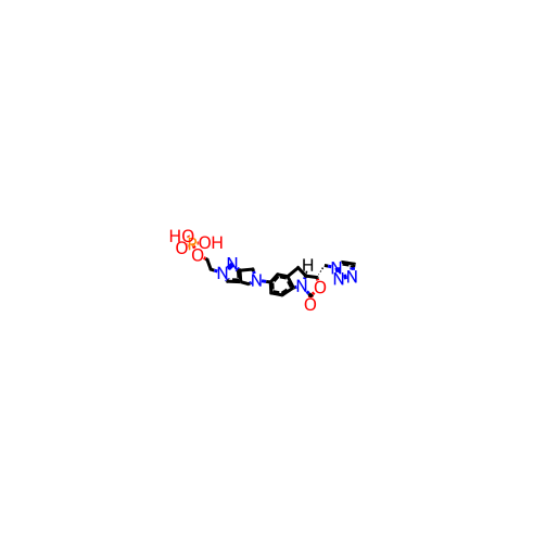 O=C1O[C@@H](Cn2ccnn2)[C@@H]2Cc3cc(N4Cc5cn(CCOP(=O)(O)O)nc5C4)ccc3N12